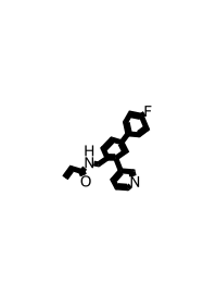 C=CC(=O)NCc1ccc(-c2ccc(F)cc2)cc1-c1cccnc1